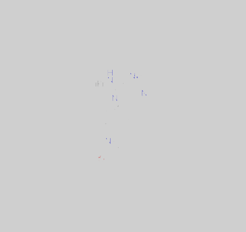 CC(C)Nc1nc(-c2ccc(N3CCOCC3)cc2)cc2nccnc12